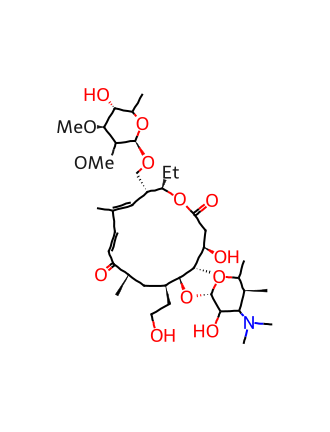 CC[C@H]1OC(=O)C[C@@H](O)[C@H](C)[C@@H](O[C@@H]2OC(C)[C@@H](C)C(N(C)C)C2O)[C@@H](CCO)C[C@@H](C)C(=O)/C=C/C(C)=C/[C@@H]1CO[C@@H]1OC(C)[C@@H](O)[C@H](OC)C1OC